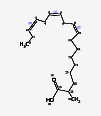 CC/C=C\C/C=C\C/C=C\CCCCCCC(C)C(=O)O